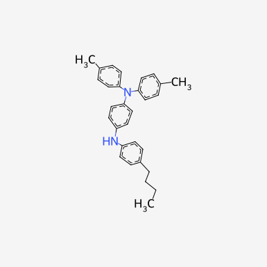 CCCCc1ccc(Nc2ccc(N(c3ccc(C)cc3)c3ccc(C)cc3)cc2)cc1